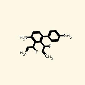 C=CC(F)c1c(N)ccc(-c2ccc(N)cc2)c1C(F)C=C